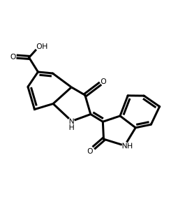 O=C(O)C1=CC2C(=O)/C(=C3/C(=O)Nc4ccccc43)NC2C=C1